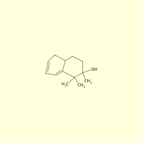 CC1(O)CCC2CC=CC=C2C1(C)C